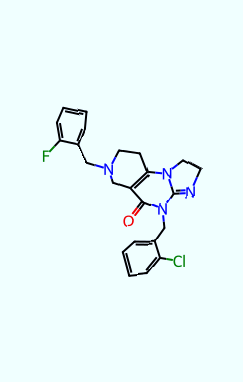 O=C1C2=C(CCN(Cc3ccccc3F)C2)N2CCN=C2N1Cc1ccccc1Cl